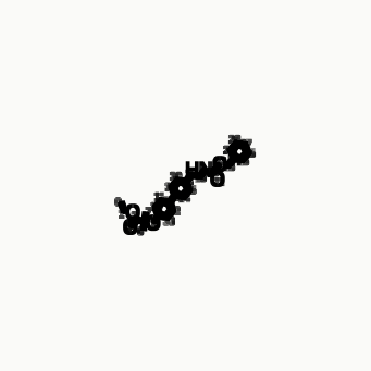 CCOC(=O)C(C)(C)Oc1ccc(-c2ccc(CCNC(=O)OCc3ccccc3)cc2)cc1